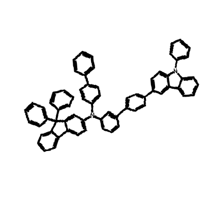 c1ccc(-c2ccc(N(c3cccc(-c4ccc(-c5ccc6c(c5)c5ccccc5n6-c5ccccc5)cc4)c3)c3ccc4c(c3)C(c3ccccc3)(c3ccccc3)c3ccccc3-4)cc2)cc1